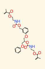 C=C(C)C(=O)OCCNC(=O)OCc1cccc(OCC(COc2ccccc2)OC(=O)NCCOC(=O)C(=C)C)c1